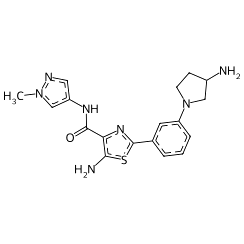 Cn1cc(NC(=O)c2nc(-c3cccc(N4CCC(N)C4)c3)sc2N)cn1